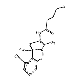 CC1(c2c(F)cccc2Cl)OC(NC(=O)CCCBr)=C(O)C1=O